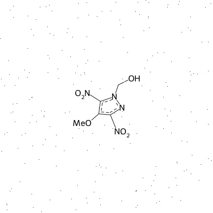 COc1c([N+](=O)[O-])nn(CO)c1[N+](=O)[O-]